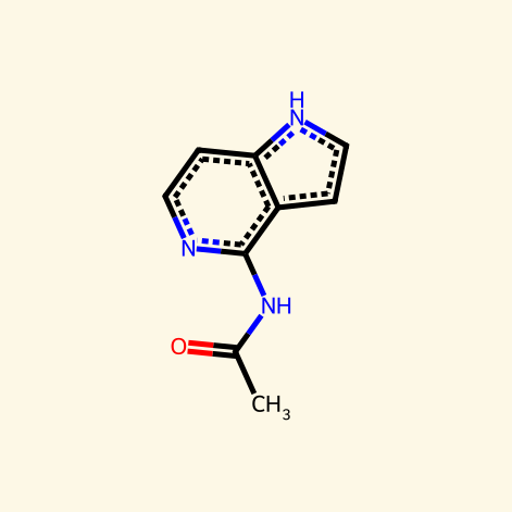 CC(=O)Nc1nccc2[nH]ccc12